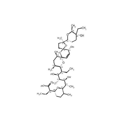 CC[C@@H]([C@H](O)[C@@H](C)[C@@H](O)[C@H](C)[C@@H]1O[C@@H]([C@@H](CC)C(=O)O)CCC1C)[C@H]1O[C@]2(C=C[C@@H](O)[C@]3(CC[C@@](C)([C@H]4CC[C@](O)(CC)[C@H](C)O4)O3)O2)[C@H](C)C[C@@H]1C